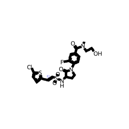 CN(CCO)C(=O)c1ccc(N2CCC(NS(=O)(=O)/C=C/c3ccc(Cl)s3)C2=O)c(F)c1